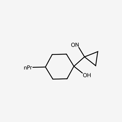 CCCC1CCC(O)(C2(N=O)CC2)CC1